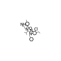 CCc1ccc2c(nc(C(C(C)C)N(CCCN)C(=O)c3ccc(C)cc3)n2Cc2ccccc2)c1Cl